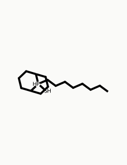 CCCCCCCC[PH]1(S)C2CCCC1CCC2